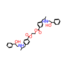 CC(Cc1ccc(C(=O)OCCOC(=O)c2ccc(CC(C)NCC(O)c3ccccc3)cc2)cc1)NCC(O)c1ccccc1